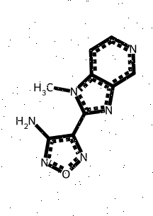 Cn1c(-c2nonc2N)nc2cnccc21